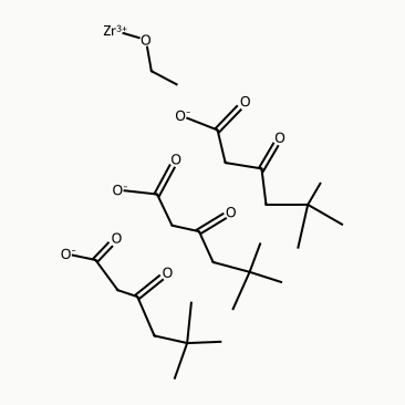 CC(C)(C)CC(=O)CC(=O)[O-].CC(C)(C)CC(=O)CC(=O)[O-].CC(C)(C)CC(=O)CC(=O)[O-].CC[O][Zr+3]